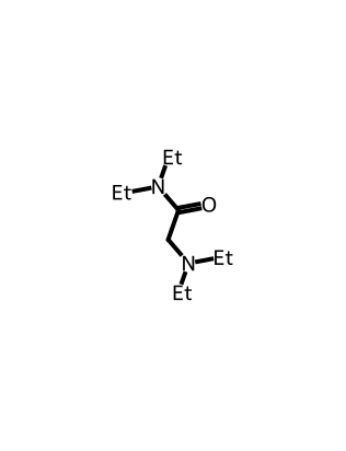 CCN(CC)CC(=O)N(CC)CC